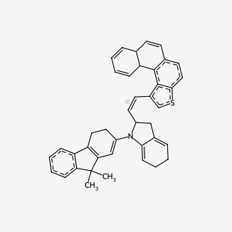 CC1(C)C2=C(CCC(N3C4=CCCC=C4CC3/C=C\c3csc4ccc5c(c34)C3C=CC=CC3C=C5)=C2)c2ccccc21